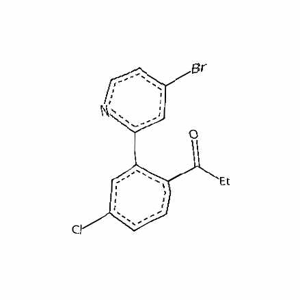 CCC(=O)c1ccc(Cl)cc1-c1cc(Br)ccn1